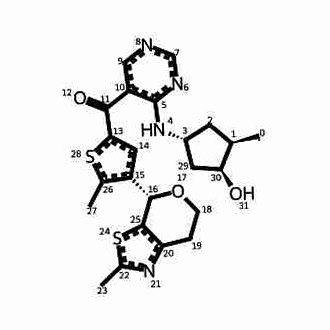 [CH2][C@@H]1C[C@@H](Nc2ncncc2C(=O)c2cc([C@@H]3OCCc4nc(C)sc43)c(C)s2)C[C@@H]1O